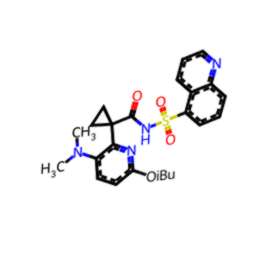 CC(C)COc1ccc(N(C)C)c(C2(C(=O)NS(=O)(=O)c3cccc4ncccc34)CC2)n1